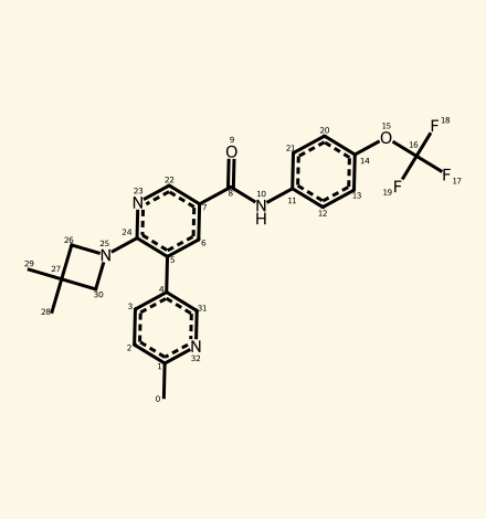 Cc1ccc(-c2cc(C(=O)Nc3ccc(OC(F)(F)F)cc3)cnc2N2CC(C)(C)C2)cn1